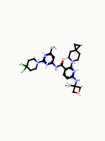 Cc1cc(NC(=O)c2ccc(NC3(C)COC3)nc2N2CCC3(CC2)CC3)nc(N2CCC(F)(F)CC2)n1